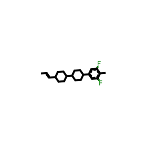 C/C=C/C1CCC(C2CCC(c3cc(F)c(C)c(F)c3)CC2)CC1